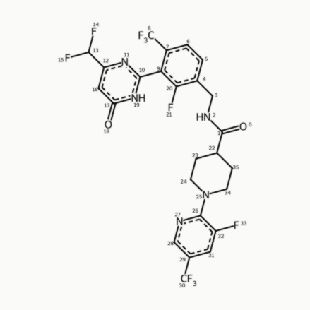 O=C(NCc1ccc(C(F)(F)F)c(-c2nc(C(F)F)cc(=O)[nH]2)c1F)C1CCN(c2ncc(C(F)(F)F)cc2F)CC1